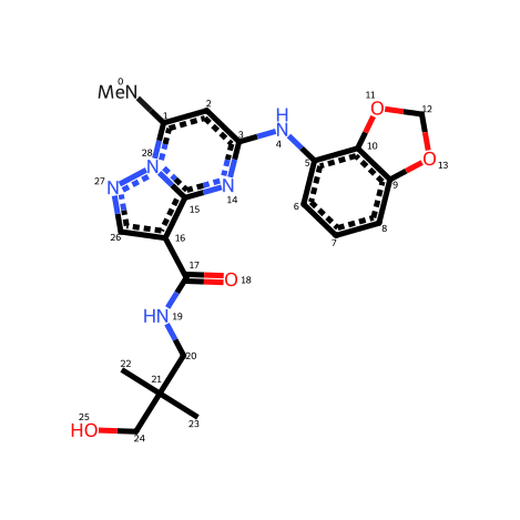 CNc1cc(Nc2cccc3c2OCO3)nc2c(C(=O)NCC(C)(C)CO)cnn12